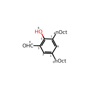 CCCCCCCCc1cc(C=O)c(O)c(CCCCCCCC)c1